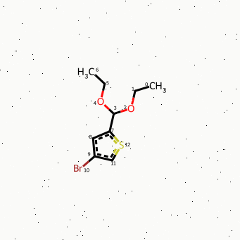 CCOC(OCC)c1cc(Br)cs1